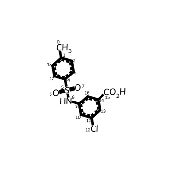 Cc1ccc(S(=O)(=O)Nc2cc(Cl)cc(C(=O)O)c2)cc1